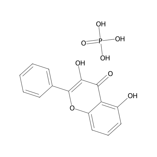 O=P(O)(O)O.O=c1c(O)c(-c2ccccc2)oc2cccc(O)c12